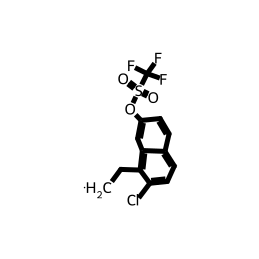 [CH2]Cc1c(Cl)ccc2ccc(OS(=O)(=O)C(F)(F)F)cc12